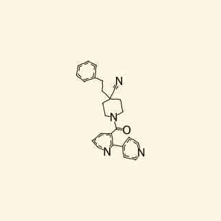 N#CC1(CCc2ccccc2)CCN(C(=O)c2cccnc2-c2ccncc2)CC1